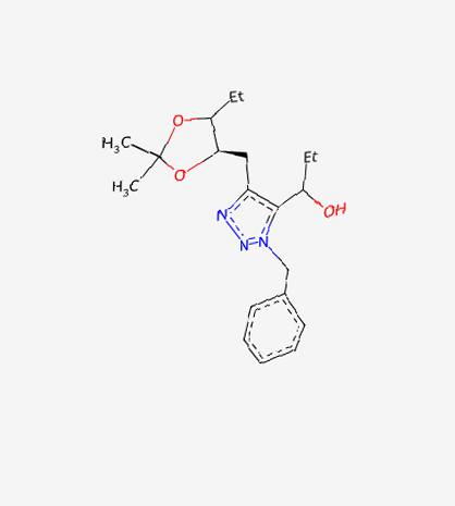 CCC(O)c1c(C[C@H]2OC(C)(C)OC2CC)nnn1Cc1ccccc1